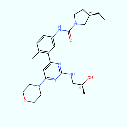 CC[C@@H]1CCN(C(=O)Nc2ccc(C)c(-c3cc(N4CCOCC4)nc(NC[C@H](C)O)n3)c2)C1